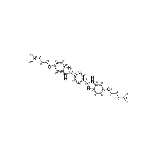 CN(C)CCCOc1ccc2nc(-c3cnc(-c4nc5ccc(OCCCN(C)C)cc5[nH]4)cn3)[nH]c2c1